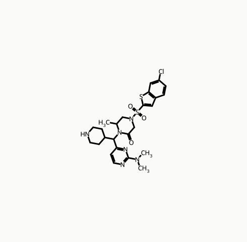 CC1CN(S(=O)(=O)c2cc3ccc(Cl)cc3s2)CC(=O)N1C(c1ccnc(N(C)C)n1)C1CCNCC1